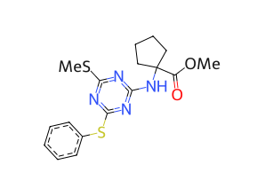 COC(=O)C1(Nc2nc(SC)nc(Sc3ccccc3)n2)CCCC1